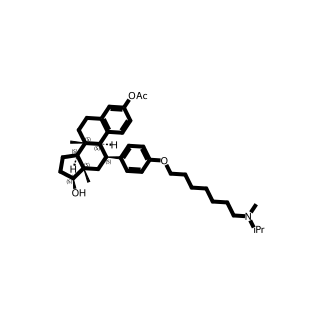 CC(=O)Oc1ccc2c(c1)CC[C@@]1(C)[C@@H]3CC[C@H](O)[C@@]3(C)C[C@H](c3ccc(OCCCCCCCN(C)C(C)C)cc3)[C@H]21